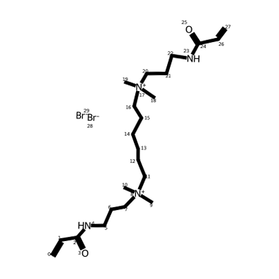 C=CC(=O)NCCC[N+](C)(C)CCCCCC[N+](C)(C)CCCNC(=O)C=C.[Br-].[Br-]